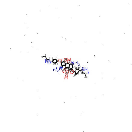 CCCCNc1ccc(Oc2cc(N)c3c(c2O)C(=O)c2c(N)cc(Oc4ccc(C(N)CCC)cc4)c(O)c2C3=O)cc1